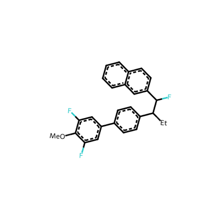 CCC(c1ccc(-c2cc(F)c(OC)c(F)c2)cc1)C(F)c1ccc2ccccc2c1